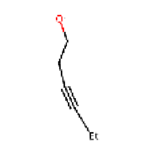 CCC#CCC[O]